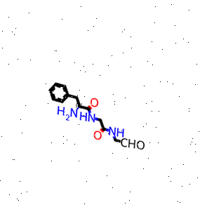 N[C@H](Cc1ccccc1)C(=O)NCC(=O)NCC=O